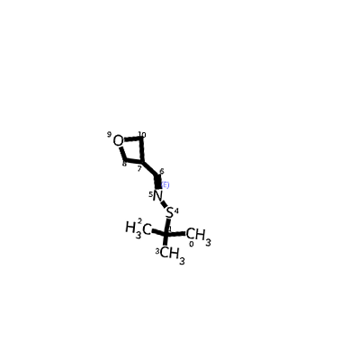 CC(C)(C)S/N=C/C1COC1